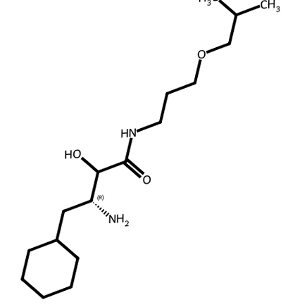 CC(C)COCCCNC(=O)C(O)[C@H](N)CC1CCCCC1